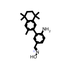 Cc1cc2c(cc1-c1cc(/C=N/O)ccc1N)C(C)(C)CCC2(C)C